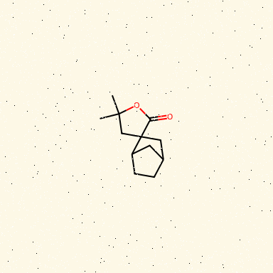 CC1(C)CC2(CC3CCC2C3)C(=O)O1